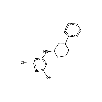 Oc1cc(Cl)cc(N[C@@H]2CCCC(c3ccccc3)C2)c1